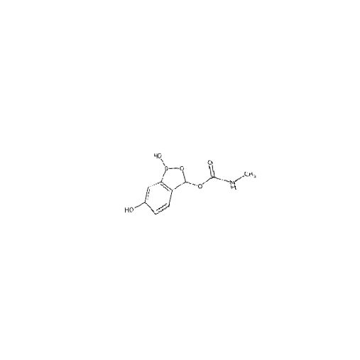 CNC(=O)OC1OB(O)c2cc(O)ccc21